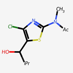 CC(=O)N(C)c1nc(Cl)c(C(O)C(C)C)s1